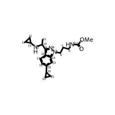 COC(=O)NCCCn1nc(C(C)NC2CC2)c2ccc(C3CC3)cc21